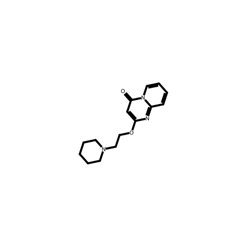 O=c1cc(OCCN2CCCCC2)nc2ccccn12